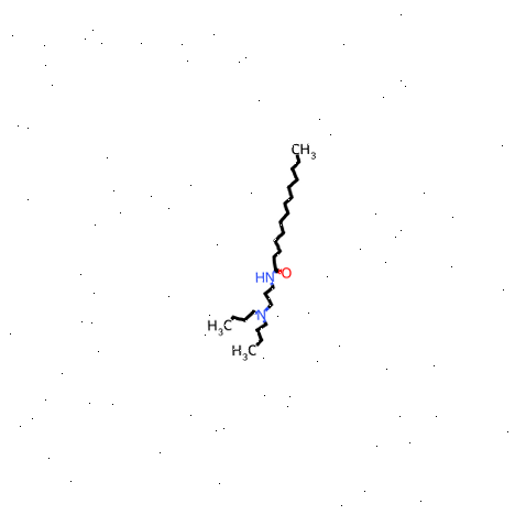 CCCCCCCCCCCCCC(=O)NCCCN(CCCC)CCCC